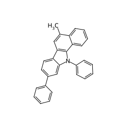 Cc1cc2c3ccc(-c4ccccc4)cc3n(-c3ccccc3)c2c2ccccc12